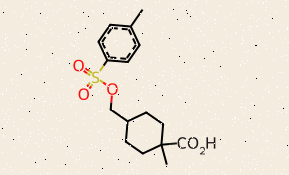 Cc1ccc(S(=O)(=O)OCC2CCC(C)(C(=O)O)CC2)cc1